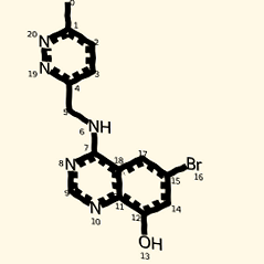 Cc1ccc(CNc2ncnc3c(O)cc(Br)cc23)nn1